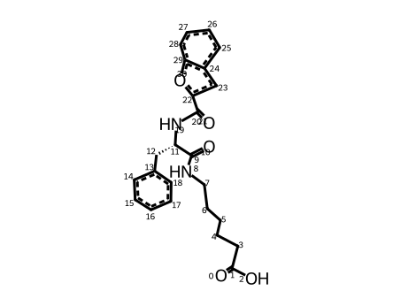 O=C(O)CCCCCNC(=O)[C@H](Cc1ccccc1)NC(=O)c1cc2ccccc2o1